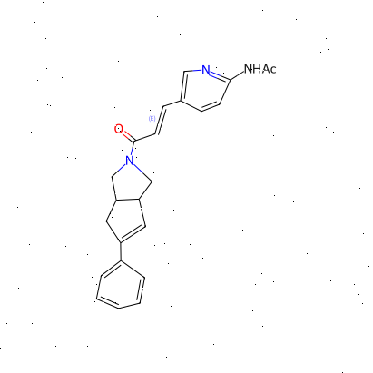 CC(=O)Nc1ccc(/C=C/C(=O)N2CC3C=C(c4ccccc4)CC3C2)cn1